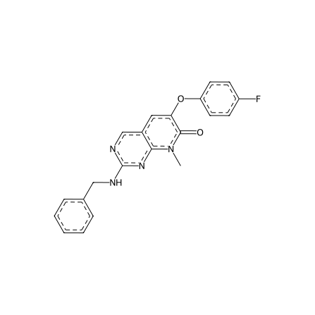 Cn1c(=O)c(Oc2ccc(F)cc2)cc2cnc(NCc3ccccc3)nc21